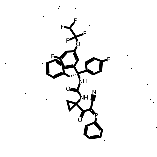 N#CC(=Pc1ccccc1)C(=O)C1(NC(=O)N[C@](Cc2ccccc2)(c2ccc(F)cc2)c2cc(F)cc(OC(F)(F)C(F)F)c2)CC1